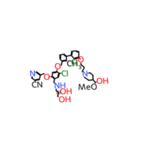 COC(O)C1CCN(CCCOc2cccc(-c3cccc(COc4cc(OCc5cncc(C#N)c5)c(CNC[C@H](O)CO)cc4Cl)c3C)c2Cl)CC1